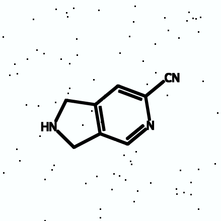 N#Cc1cc2c(cn1)CNC2